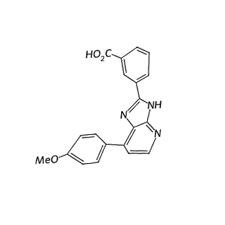 COc1ccc(-c2ccnc3[nH]c(-c4cccc(C(=O)O)c4)nc23)cc1